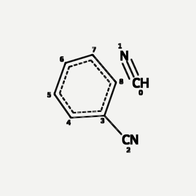 C#N.N#Cc1ccccc1